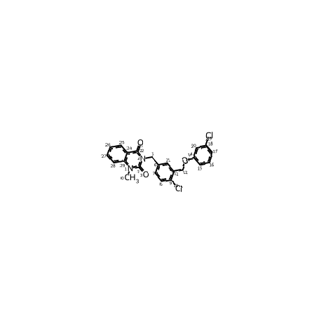 Cn1c(=O)n(Cc2ccc(Cl)c(COc3cccc(Cl)c3)c2)c(=O)c2ccccc21